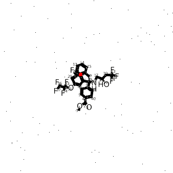 COC(=O)c1ccc([C@@](Cc2ccccc2)(NC[C@H](O)CC(F)(F)F)c2cc(F)cc(OC(F)(F)C(F)F)c2)cc1